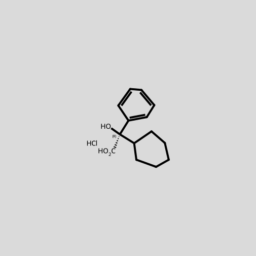 Cl.O=C(O)[C@](O)(c1ccccc1)C1CCCCC1